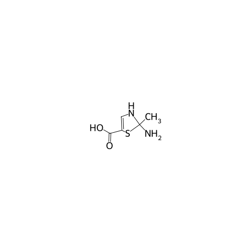 CC1(N)NC=C(C(=O)O)S1